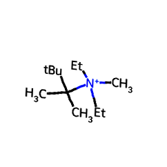 CC[N+](C)(CC)C(C)(C)C(C)(C)C